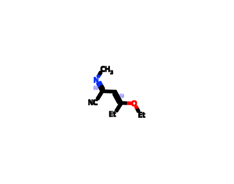 CCO/C(=C/C(C#N)=N\C)CC